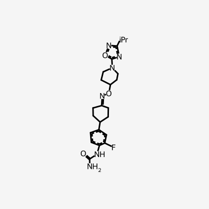 CC(C)c1noc(N2CCC(ON=C3CCC(c4ccc(NC(N)=O)c(F)c4)CC3)CC2)n1